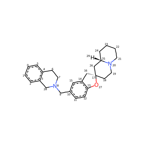 c1ccc2c(c1)CCN(Cc1ccc3c(c1)C[C@]1(CCN4CCCC[C@H]4C1)O3)C2